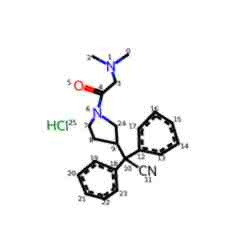 CN(C)CC(=O)N1CCC(C(C#N)(c2ccccc2)c2ccccc2)C1.Cl